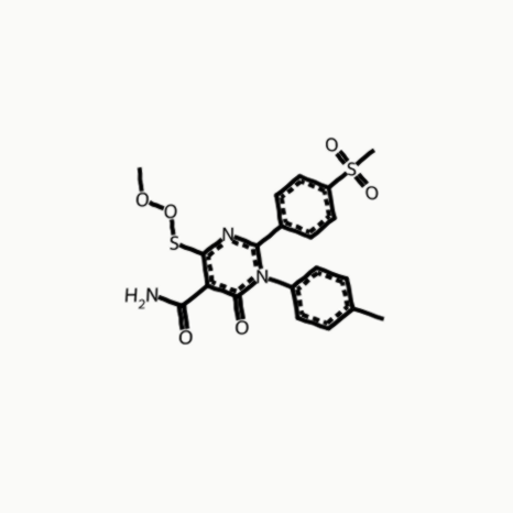 COOSc1nc(-c2ccc(S(C)(=O)=O)cc2)n(-c2ccc(C)cc2)c(=O)c1C(N)=O